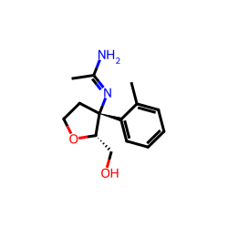 C/C(N)=N\[C@@]1(c2ccccc2C)CCO[C@H]1CO